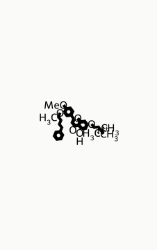 COc1ccc(-c2cc(=O)c3c(O)cc(OCC[N+](C)(C)C)cc3o2)cc1OC(C)CCCc1ccccc1